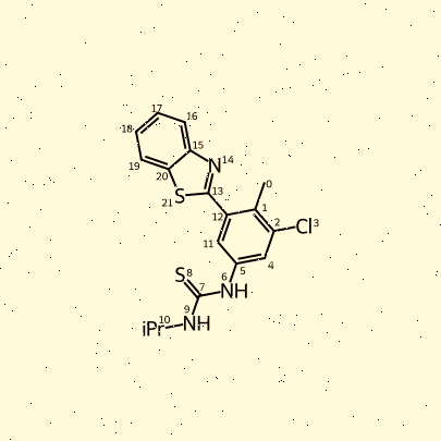 Cc1c(Cl)cc(NC(=S)NC(C)C)cc1-c1nc2ccccc2s1